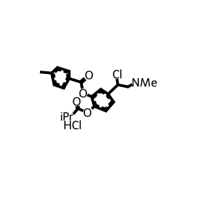 CNCC(Cl)c1ccc(OC(=O)C(C)C)c(OC(=O)c2ccc(C)cc2)c1.Cl